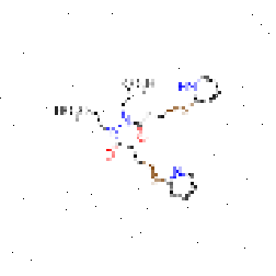 O=C(O)CCN(C(=O)CCSSc1ccccn1)N(CCC(=O)O)C(=O)CCSSC1C=CC=CN1